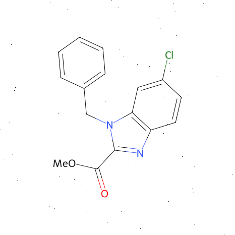 COC(=O)c1nc2ccc(Cl)cc2n1Cc1ccccc1